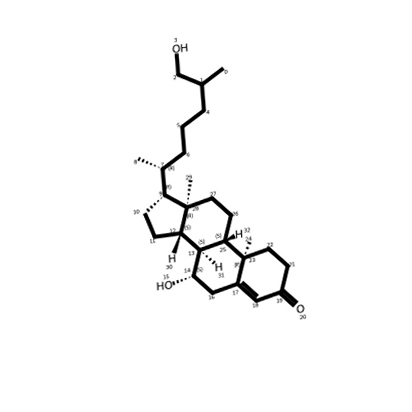 CC(CO)CCC[C@@H](C)[C@H]1CC[C@H]2[C@@H]3[C@@H](O)CC4=CC(=O)CC[C@]4(C)[C@H]3CC[C@]12C